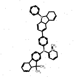 C=[N+]1CC=CC=C1N(c1ccc(C2=CC3C4C=CCCC4N(c4ccccc4)C3C=C2)cc1)c1ccc2c(c1)C(C)(C)C1C=CC=CC21